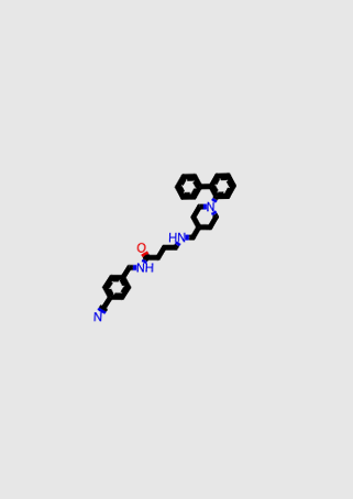 N#Cc1ccc(CNC(=O)CCCNCC2CCN(c3ccccc3-c3ccccc3)CC2)cc1